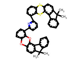 CC1(C)c2ccccc2-c2c1ccc1c2Oc2c(cccc2-c2cccc(-c3cccc4c3Sc3c(ccc5c3-c3ccccc3C5(C)C)S4)n2)O1